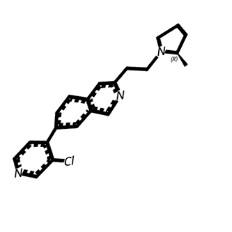 C[C@@H]1CCCN1CCc1cc2ccc(-c3ccncc3Cl)cc2cn1